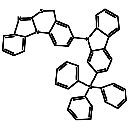 c1ccc([Si](c2ccccc2)(c2ccccc2)c2ccc3c4ccccc4n(-c4ccc5c(c4)CSc4nc6ccccc6n4-5)c3c2)cc1